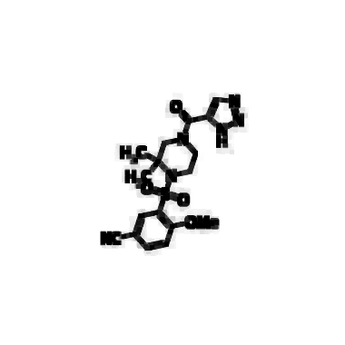 COc1ccc(C#N)cc1S(=O)(=O)N1CCN(C(=O)c2cnn[nH]2)CC1(C)C